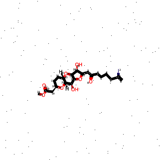 C=C(I)CCCCC(=O)CC1OC2C(O[C@H]3CC[C@H](CC(=O)OC)O[C@@H]3[C@@H]2O)[C@H]1O